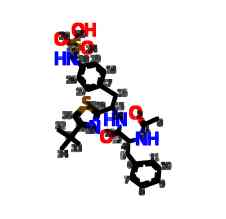 CC(=O)N[C@@H](Cc1ccccc1)C(=O)NC(Cc1ccc(NS(=O)(=O)O)cc1)c1nc(C(C)(C)C)cs1